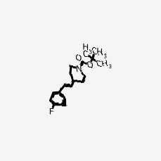 CC(C)(C)OC(=O)N1CCC(/C=C/c2ccc(F)cc2)CC1